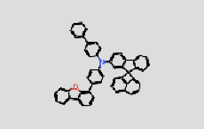 c1ccc(-c2ccc(N(c3ccc(-c4cccc5c4oc4ccccc45)cc3)c3ccc4c(c3)C3(c5ccccc5-4)c4cccc5cccc3c45)cc2)cc1